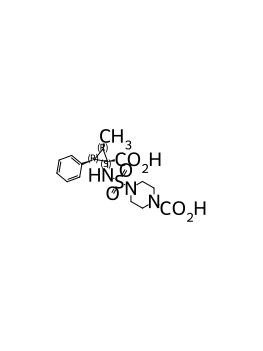 C[C@@H]1[C@H](c2ccccc2)[C@]1(NS(=O)(=O)N1CCN(C(=O)O)CC1)C(=O)O